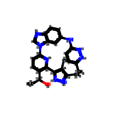 Cc1ccc(Nc2ccc3ncn(-c4ccc([C@H](C)O)c(-c5n[nH]c(C)c5C#N)n4)c3c2)nn1